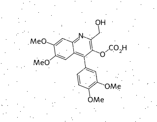 COc1ccc(-c2c(OC(=O)O)c(CO)nc3cc(OC)c(OC)cc23)cc1OC